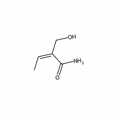 C/C=C(/CO)C(N)=O